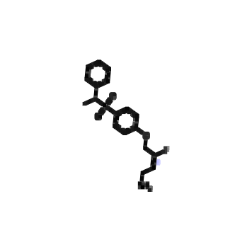 CC(c1ccccc1)S(=O)(=O)c1ccc(OC/C(F)=C\CN)cc1